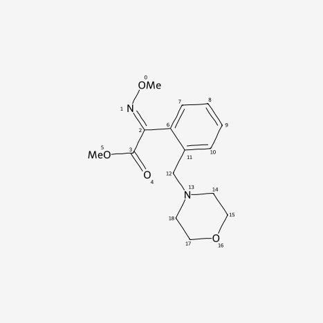 CO/N=C(/C(=O)OC)c1ccccc1CN1CCOCC1